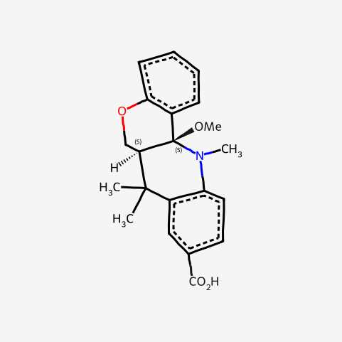 CO[C@]12c3ccccc3OC[C@@H]1C(C)(C)c1cc(C(=O)O)ccc1N2C